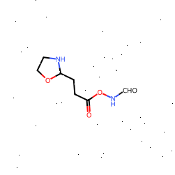 O=CNOC(=O)CCC1NCCO1